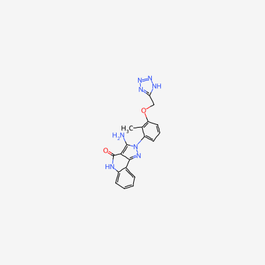 Cc1c(OCc2nnn[nH]2)cccc1-n1nc2c(c1N)c(=O)[nH]c1ccccc12